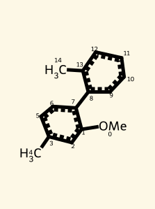 COc1cc(C)ccc1-c1ccccc1C